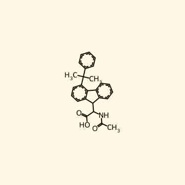 CC(=O)NC(C(=O)O)C1c2ccccc2-c2c1cccc2C(C)(C)c1ccccc1